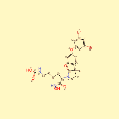 CC1(c2ccc(Oc3cc(Br)cc(Br)c3)cc2)CCN(C(CCCCNC(=O)O)C(=O)NO)C1=O